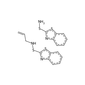 C=CCNSc1nc2ccccc2s1.NSc1nc2ccccc2s1